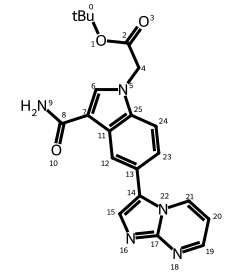 CC(C)(C)OC(=O)Cn1cc(C(N)=O)c2cc(-c3cnc4ncccn34)ccc21